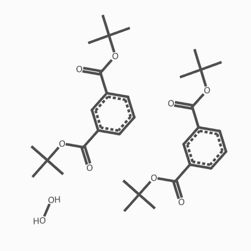 CC(C)(C)OC(=O)c1cccc(C(=O)OC(C)(C)C)c1.CC(C)(C)OC(=O)c1cccc(C(=O)OC(C)(C)C)c1.OO